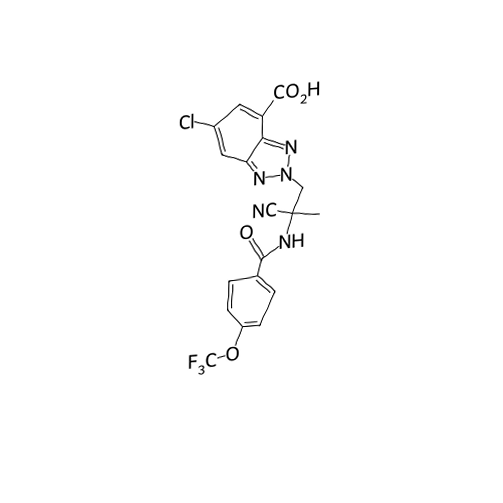 CC(C#N)(Cn1nc2cc(Cl)cc(C(=O)O)c2n1)NC(=O)c1ccc(OC(F)(F)F)cc1